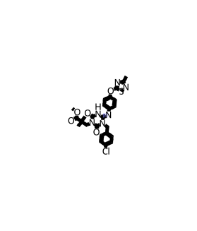 COC(=O)C(C)(C)Cn1c(=O)[nH]/c(=N\c2ccc(Oc3nc(C)ns3)cc2)n(Cc2ccc(Cl)cc2)c1=O